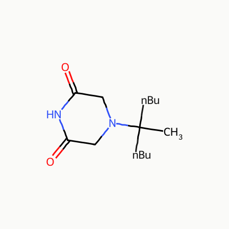 CCCCC(C)(CCCC)N1CC(=O)NC(=O)C1